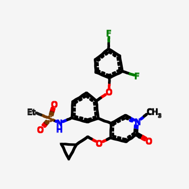 CCS(=O)(=O)Nc1ccc(Oc2ccc(F)cc2F)c(-c2cn(C)c(=O)cc2OCC2CC2)c1